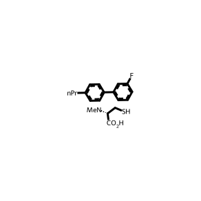 CCCc1ccc(-c2cccc(F)c2)cc1.CN[C@H](CS)C(=O)O